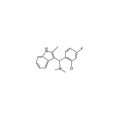 Cc1[nH]c2ccccc2c1C(c1ccc(F)cc1Cl)N(C)C